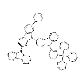 c1ccc(-c2ccc3c4ccc(-n5c6ccccc6c6ccccc65)cc4n(-c4ccc5c(c4)c4ccccc4n5-c4cccc([Si](c5ccccc5)(c5ccccc5)c5ccccc5)c4)c3c2)cc1